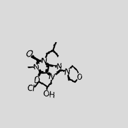 CC(C)Cn1c(=O)n(C)c(=O)c2c1nc(N1CCOCC1)n2CC(O)CCl